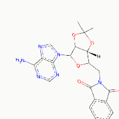 CC1(C)OC2C(n3cnc4c(N)ncnc43)OC(CN3C(=O)c4ccccc4C3=O)[C@H]2O1